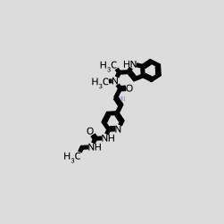 CCNC(=O)Nc1ccc(/C=C/C(=O)N(C)C(C)c2cc3ccccc3[nH]2)cn1